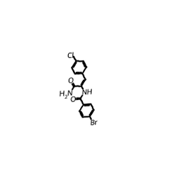 NC(=O)/C(=C\c1ccc(Cl)cc1)NC(=O)c1ccc(Br)cc1